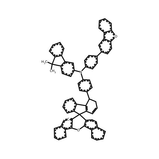 CC1(C)c2ccccc2-c2cc(N(c3ccc(-c4ccc5oc6ccccc6c5c4)cc3)c3ccc(C4CC=CC5=C4c4ccccc4C54c5ccc6ccccc6c5Oc5c4ccc4ccccc54)cc3)ccc21